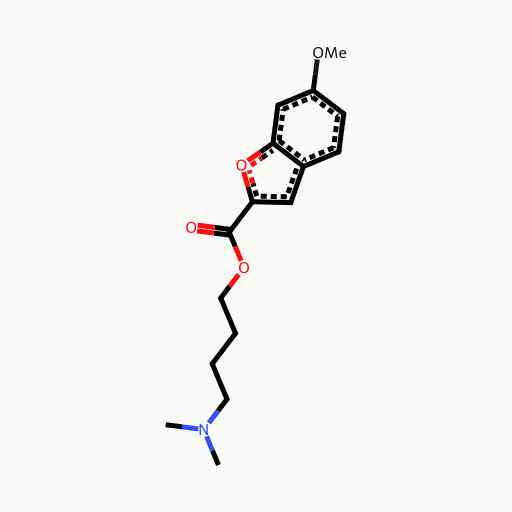 COc1ccc2cc(C(=O)OCCCCN(C)C)oc2c1